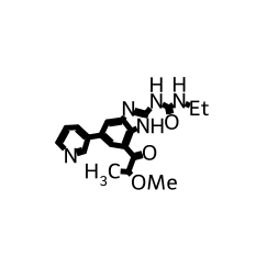 CCNC(=O)Nc1nc2cc(-c3cccnc3)cc(C(=O)C(C)OC)c2[nH]1